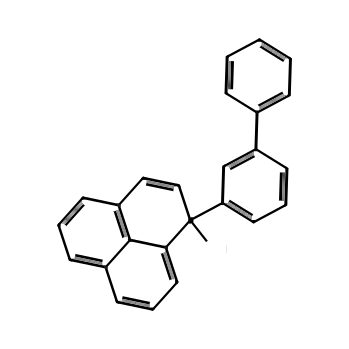 OC1(c2cccc(-c3ccccc3)c2)C=Cc2cccc3cccc1c23